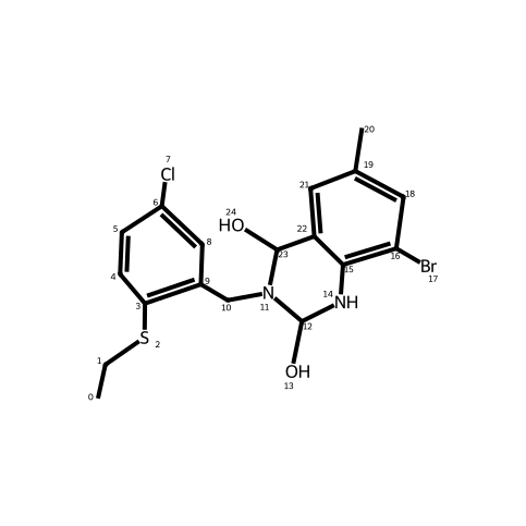 CCSc1ccc(Cl)cc1CN1C(O)Nc2c(Br)cc(C)cc2C1O